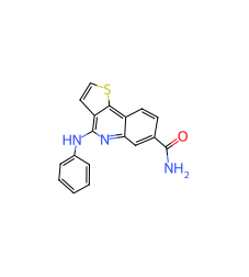 NC(=O)c1ccc2c(c1)nc(Nc1ccccc1)c1ccsc12